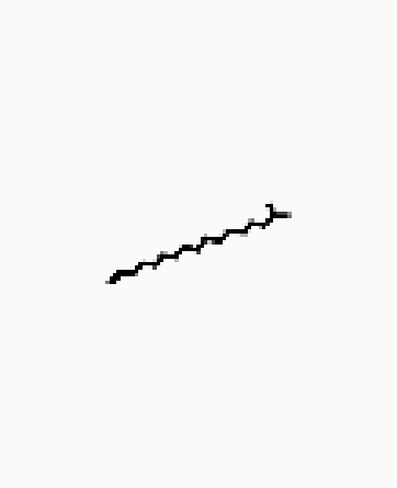 [CH]=CCCCCCCCCCCCCCC(C)C